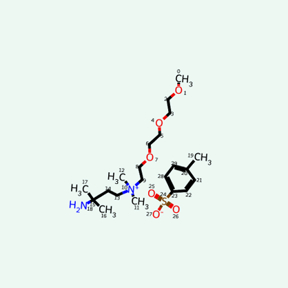 COCCOCCOCC[N+](C)(C)CCC(C)(C)N.Cc1ccc(S(=O)(=O)[O-])cc1